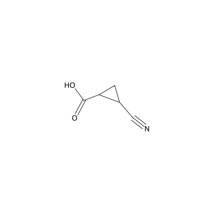 N#CC1CC1C(=O)O